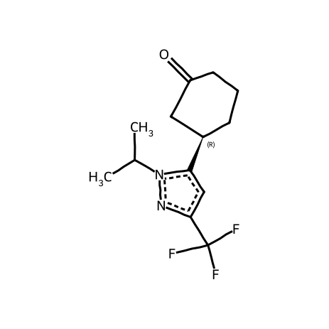 CC(C)n1nc(C(F)(F)F)cc1[C@@H]1CCCC(=O)C1